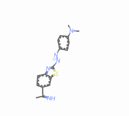 CC(=N)c1ccc2nc(/N=N/c3ccc(N(C)C)cc3)sc2c1